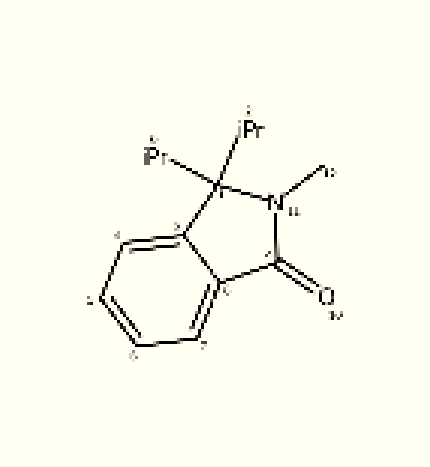 CC(C)C1(C(C)C)c2ccccc2C(=O)N1C